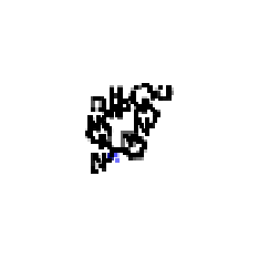 C=N/C=C(/c1cccc(N2CCN3C(=O)CCCC3C2)n1)N1C=C(C(N)=O)N=CC1